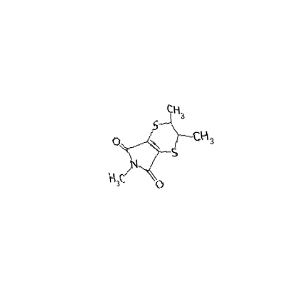 CC1SC2=C(SC1C)C(=O)N(C)C2=O